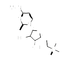 C=C1N=C(NC)C=CN1[C@@H]1O[C@H](CCP(=C)(C)C)[C@@H](O)C1O